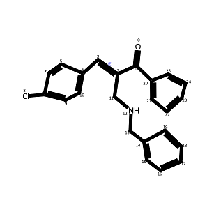 O=C(/C(=C/c1ccc(Cl)cc1)CNCc1ccccc1)c1ccccc1